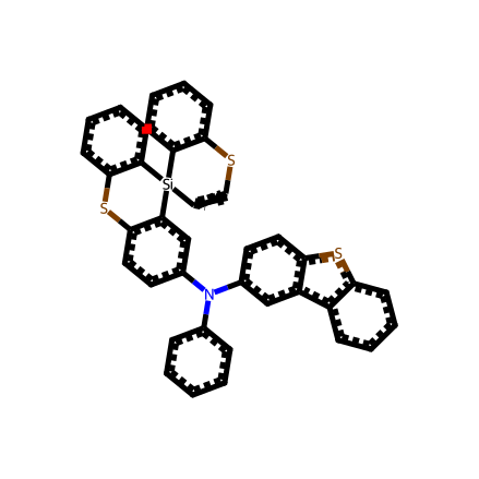 c1ccc(N(c2ccc3c(c2)[Si]2(c4ccccc4Sc4ccccc42)c2ccccc2S3)c2ccc3sc4ccccc4c3c2)cc1